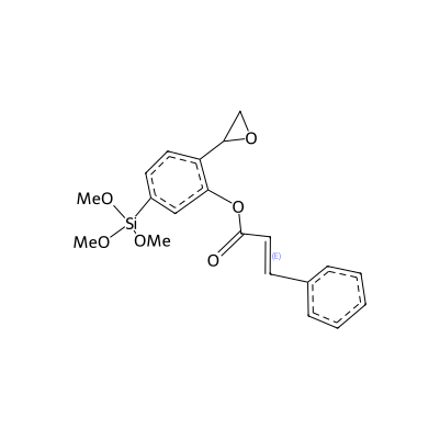 CO[Si](OC)(OC)c1ccc(C2CO2)c(OC(=O)/C=C/c2ccccc2)c1